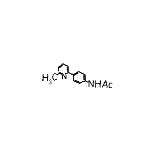 CC(=O)Nc1ccc(-c2cccc(C)n2)cc1